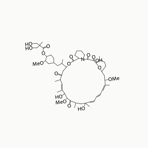 COC1CC2CCC(C)C(O)(O2)C(=O)C(=O)N2CCCCC2C(=O)OC(C(C)CC2CCC(OC(=O)C(C)(CO)CO)C(OC)C2)CC(=O)C(C)/C=C(\C)C(O)C(OC)C(=O)C(C)CC(C)(O)/C=C/C=C/C=C/1C